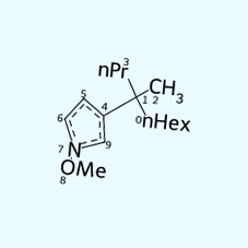 CCCCCCC(C)(CCC)c1ccn(OC)c1